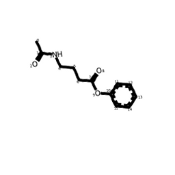 CC(=O)NCCCC(=O)Oc1ccccc1